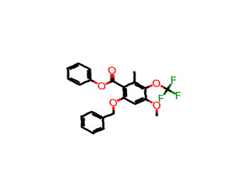 COc1cc(OCc2ccccc2)c(C(=O)Oc2ccccc2)c(C)c1OC(F)(F)F